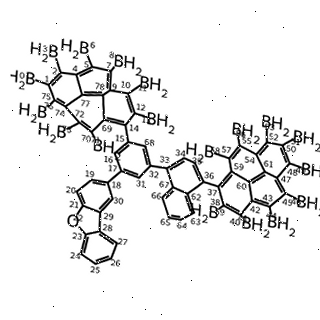 Bc1c(B)c2c(B)c(B)c3c(B)c(B)c(-c4cc(-c5ccc6oc7ccccc7c6c5)cc(-c5ccc(-c6c(B)c(B)c7c(B)c(B)c8c(B)c(B)c(B)c9c(B)c(B)c6c7c89)c6ccccc56)c4)c4c(B)c(B)c(c1B)c2c34